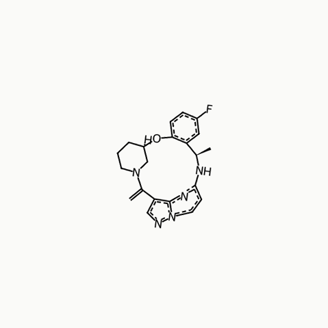 C=C1c2cnn3ccc(nc23)N[C@H](C)c2cc(F)ccc2O[C@@H]2CCCN1C2